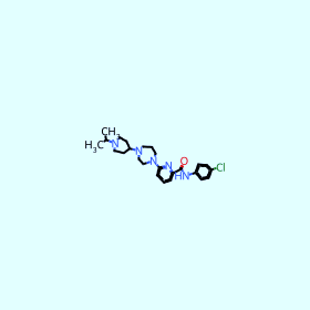 CC(C)N1CCC(N2CCCN(c3cccc(C(=O)Nc4ccc(Cl)cc4)n3)CC2)CC1